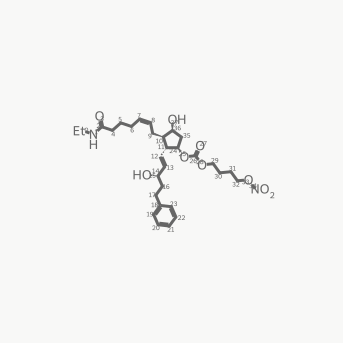 CCNC(=O)CCC/C=C\C[C@@H]1[C@@H](/C=C/[C@@H](O)CCc2ccccc2)[C@H](OC(=O)OCCCCO[N+](=O)[O-])C[C@@H]1O